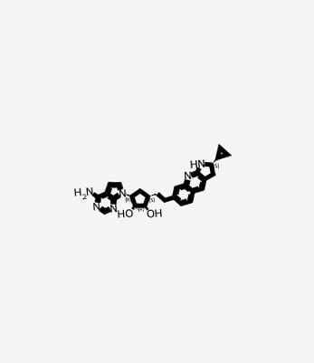 Nc1ncnc2c1ccn2[C@@H]1C[C@H](CCc2ccc3cc4c(nc3c2)N[C@H](C2CC2)C4)[C@@H](O)[C@H]1O